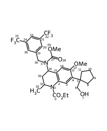 CCOC(=O)N1c2cc(C3(CO)CCCC3)c(OC)cc2C(N(Cc2cc(C(F)(F)F)cc(C(F)(F)F)c2)C(=O)OC)CC1C